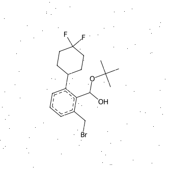 CC(C)(C)OC(O)c1c(CBr)cccc1C1CCC(F)(F)CC1